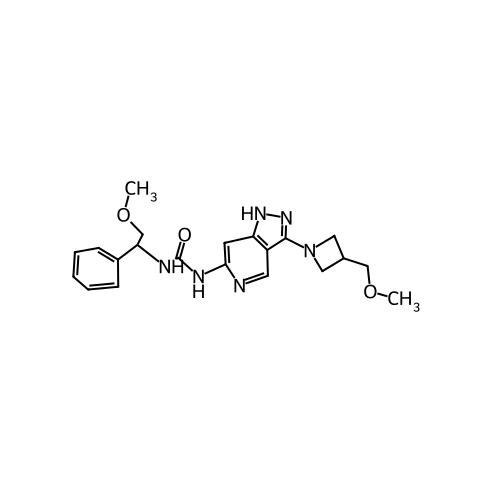 COCC1CN(c2n[nH]c3cc(NC(=O)NC(COC)c4ccccc4)ncc23)C1